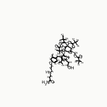 Cc1cc(OCCCNCCC(N)=O)ccc1Cc1c(O[C@@H]2O[C@H](COC(=O)C(C)(C)C)[C@@H](OC(=O)C(C)(C)C)[C@H](OC(=O)C(C)(C)C)[C@H]2OC(=O)C(C)(C)C)nn(CCO)c1C(C)C